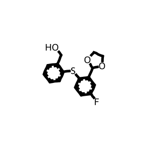 OCc1ccccc1Sc1ccc(F)cc1C1OCCO1